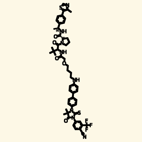 Cc1ncsc1-c1ccc([C@H](C)NC(=O)[C@@H]2CCCN2C(=O)C(NC(=O)COCCCCNc2ccc(-c3ccc(N4C(=S)N(c5ccc(C#N)c(C(F)(F)F)c5)C(=O)C4(C)C)cc3)cc2)C(C)(C)C)cc1